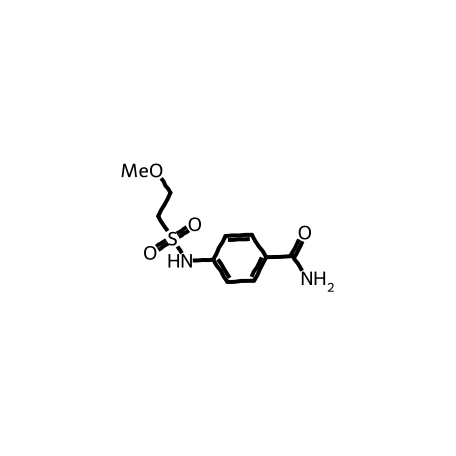 COCCS(=O)(=O)Nc1ccc(C(N)=O)cc1